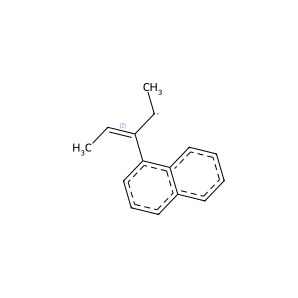 C[CH]/C(=C/C)c1cccc2ccccc12